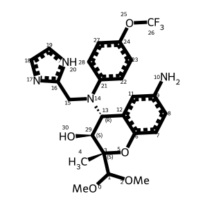 COC(OC)[C@@]1(C)Oc2ccc(N)cc2[C@@H](N(Cc2ncc[nH]2)c2ccc(OC(F)(F)F)cc2)[C@@H]1O